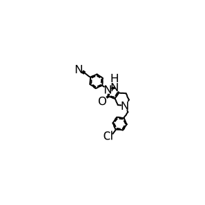 N#Cc1ccc(-n2[nH]c3c(c2=O)CN(Cc2ccc(Cl)cc2)CC3)cc1